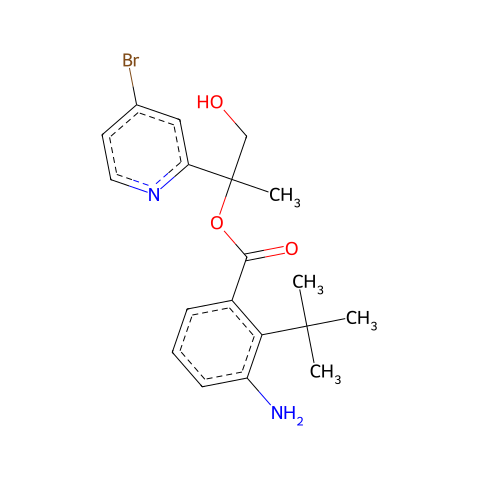 CC(C)(C)c1c(N)cccc1C(=O)OC(C)(CO)c1cc(Br)ccn1